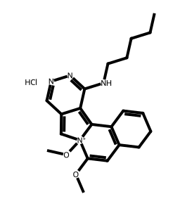 CCCCCNc1nncc2c1=C1C3=C(C=C(OC)[N+]1(OC)C=2)CCC=C3.Cl